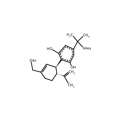 C=C(C)[C@@H]1CCC(COC(C)=O)=C[C@H]1c1c(O)cc(C(C)(C)CCCCCC)cc1O